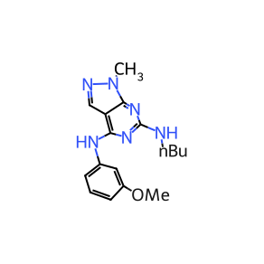 CCCCNc1nc(Nc2cccc(OC)c2)c2cnn(C)c2n1